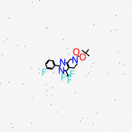 CC(C)(C)OC(=O)N1CCc2c(nc(-c3cccc(F)c3)nc2C(F)(F)F)C1